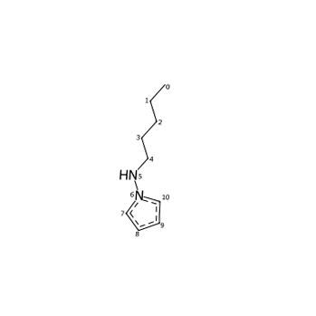 CCCCCNn1cccc1